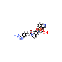 N=C(N)c1ccc(CCC(=O)N2CCCc3cc(N(CC(=O)O)S(=O)(=O)c4cccc5cnccc45)ccc32)cc1